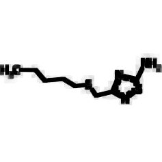 CCCCCSCc1nsc(N)n1